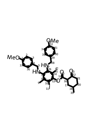 COc1ccc(CNc2c(C)c(I)c(OC(=O)C3CC(C)CCC3=O)c(F)c2NCc2ccc(OC)cc2)cc1